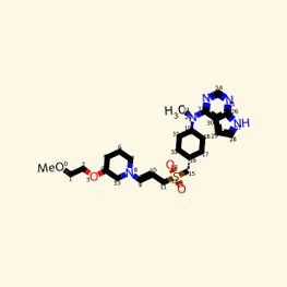 COCCOC1CCCN(C=CCS(=O)(=O)C[C@H]2CC[C@H](N(C)c3ncnc4[nH]ccc34)CC2)C1